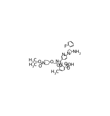 CC(C)OC(=O)N1CCC(OCc2nc(-c3ccc(N4C[C@H](c5ccccc5F)[C@@H](N)C4)nc3)no2)CC1.Cc1ccc(S(=O)(=O)O)cc1